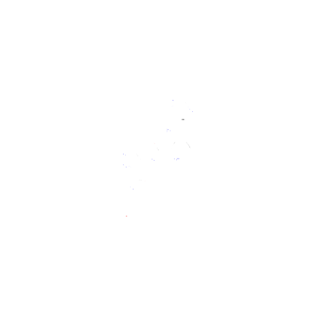 Cn1cc(NC(=O)c2nc(C3CC3)ccc2Nc2cncnc2)c(C(=O)N2CCC(O)C2)n1